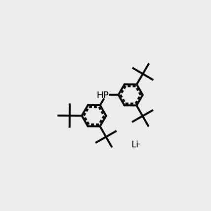 CC(C)(C)c1cc(Pc2cc(C(C)(C)C)cc(C(C)(C)C)c2)cc(C(C)(C)C)c1.[Li]